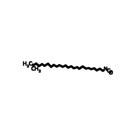 CC(C)CCCCCCCCCCCCCCCCCCCCCCCCN=C=O